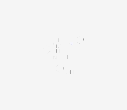 C=C(NCC/C=C/c1ccccc1)c1ccccc1CN1CCc2ccc(O)cc2C1C